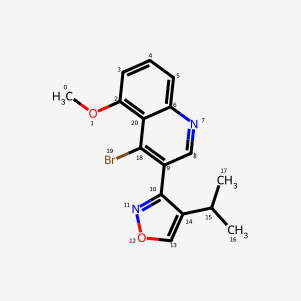 COc1cccc2n[c]c(-c3nocc3C(C)C)c(Br)c12